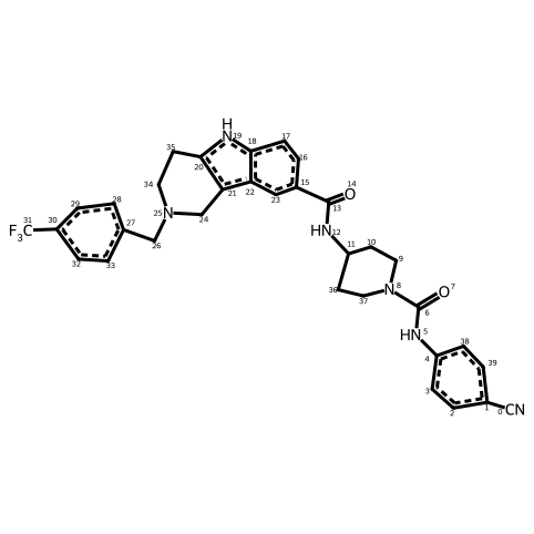 N#Cc1ccc(NC(=O)N2CCC(NC(=O)c3ccc4[nH]c5c(c4c3)CN(Cc3ccc(C(F)(F)F)cc3)CC5)CC2)cc1